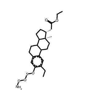 CCOC(=O)C[C@H]1CCC2C3CCc4cc(OSOON)c(CC)cc4C3CC[C@@]21C